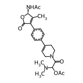 CC(=O)N[C@@H]1OC(=O)C(c2ccc(C3=CCN(C(=O)C(OC(C)=O)N(C)C)CC3)cc2)=C1C